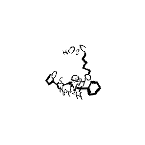 [2H]C([2H])(c1ccccc1OCCCCCC(=O)O)N(C(=O)c1ncc(-c2ccco2)s1)C(C)C